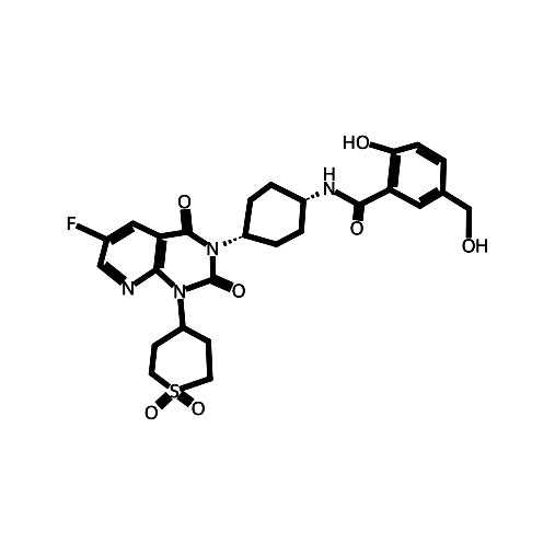 O=C(N[C@H]1CC[C@@H](n2c(=O)c3cc(F)cnc3n(C3CCS(=O)(=O)CC3)c2=O)CC1)c1cc(CO)ccc1O